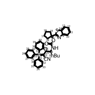 CCCC[C@H](NC(=O)OC1(c2nc3ccccc3s2)CCCC1)C(=O)C(C#N)=P(c1ccccc1)(c1ccccc1)c1ccccc1